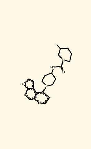 CC1CCCN(C(=O)NC2CCN(c3ccnc4cnc5[nH]ccc5c34)CC2)C1